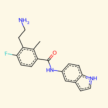 Cc1c(C(=O)Nc2ccc3[nH]ccc3c2)ccc(F)c1CCN